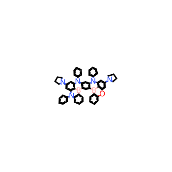 c1ccc(N2c3cc4c(cc3B3c5ccccc5Oc5cc(N6CCCC6)cc2c53)B2c3ccccc3N(c3ccccc3)c3cc(N5CCCC5)cc(c32)N4c2ccccc2)cc1